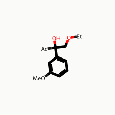 CCOCC(O)(C(C)=O)c1cccc(OC)c1